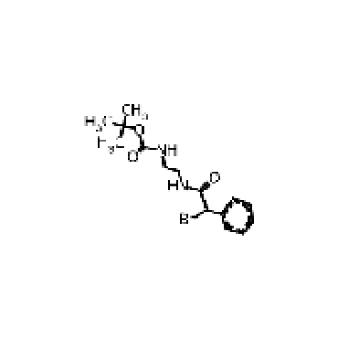 CC(C)(C)OC(=O)NCCNC(=O)C(Br)c1ccccc1